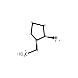 N[C@@H]1CCC[C@@H]1CC(=O)O